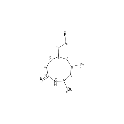 CCC(C)C1CC(C(C)C)CC(CCF)SCC(=O)N1